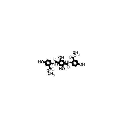 COC(=O)c1cc(O)ccc1NC(=O)c1cc(O)c(C(=O)Nc2ccc(O)cc2C(=O)OC)cc1O